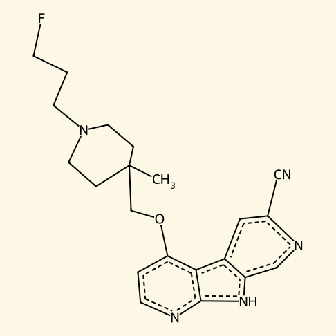 CC1(COc2ccnc3[nH]c4cnc(C#N)cc4c23)CCN(CCCF)CC1